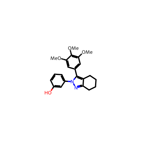 COc1cc(-c2c3c(nn2-c2cccc(O)c2)CCCC3)cc(OC)c1OC